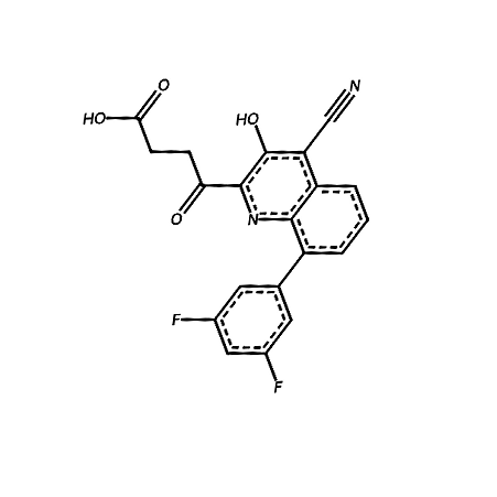 N#Cc1c(O)c(C(=O)CCC(=O)O)nc2c(-c3cc(F)cc(F)c3)cccc12